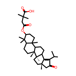 CC(C)C1=C2C3CCC4C5(C)CCC(OC(=O)CC(C)(C)C(=O)O)C(C)(C)C5CC[C@@]4(C)[C@]3(C)CC[C@@]2(C)CC1=O